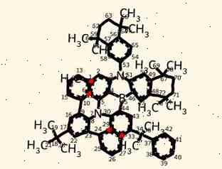 Cc1cc2c3c(c1)N(c1c(-c4ccccc4)cc(C(C)(C)C)cc1-c1ccccc1)c1ccc(C(C)(C)c4ccccc4)cc1B3c1cc3c(cc1N2c1ccc2c(c1)C(C)(C)CCC2(C)C)C(C)(C)CCC3(C)C